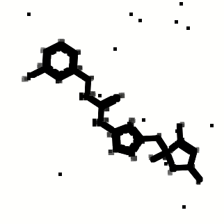 CC1=CC(C)O[N+]1(C)Cc1nsc(NC(=O)NCc2cccc(F)c2)n1